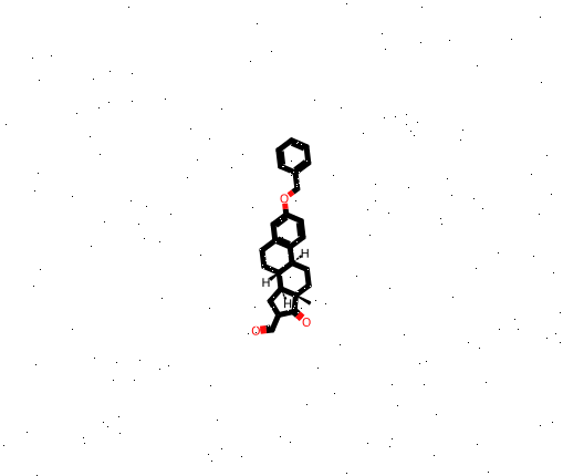 C[C@]12CC[C@@H]3c4ccc(OCc5ccccc5)cc4CC[C@H]3[C@@H]1CC(C=O)C2=O